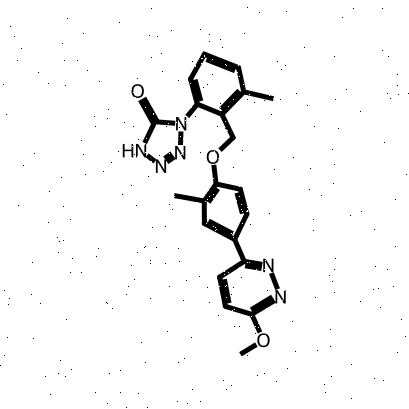 COc1ccc(-c2ccc(OCc3c(C)cccc3-n3nn[nH]c3=O)c(C)c2)nn1